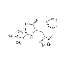 CC(C)(C)OC(=O)NC(Cc1nn[nH]c1Cc1ccccc1)C(=O)O